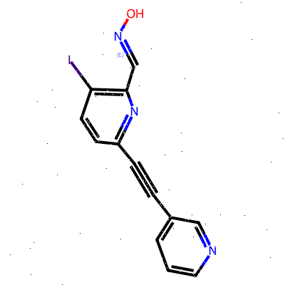 O/N=C/c1nc(C#Cc2cccnc2)ccc1I